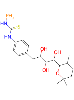 CC1CCC(C)(C)OC1C(O)C(O)C(O)Cc1ccc(NC(=S)NP)cc1